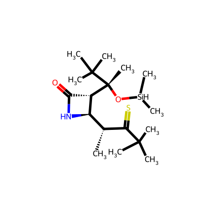 C[C@@H](C(=S)C(C)(C)C)[C@H]1NC(=O)[C@@H]1[C@@](C)(O[SiH](C)C)C(C)(C)C